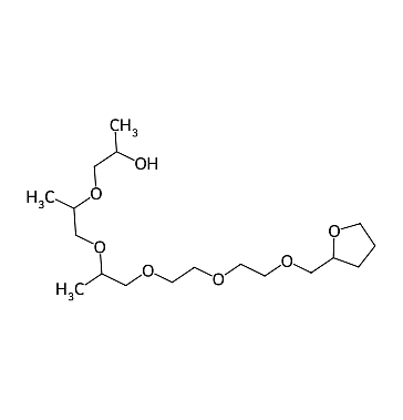 CC(O)COC(C)COC(C)COCCOCCOCC1CCCO1